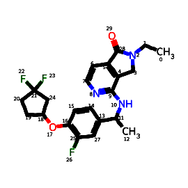 CCN1Cc2c(ccnc2NC(C)c2ccc(OC3CCC(F)(F)C3)c(F)c2)C1=O